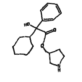 O=C(OC1CCNC1)C(O)(c1ccccc1)C1CCCCC1